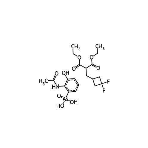 CC(=O)Nc1c(O)cccc1[As](=O)(O)O.CCOC(=O)C(CC1CC(F)(F)C1)C(=O)OCC